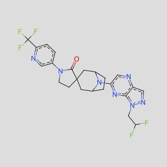 O=C1N(c2ccc(C(F)(F)F)nc2)CCC12CC1CCC(C2)N1c1cnc2cnn(CC(F)F)c2n1